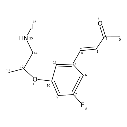 CC(=O)/C=C/c1cc(F)cc(OC(C)CNI)c1